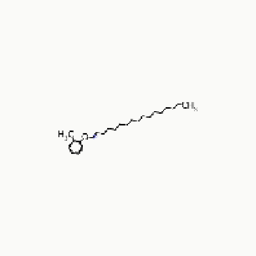 CCCCCCCCCCCCCCC/C=C/Oc1ccccc1C